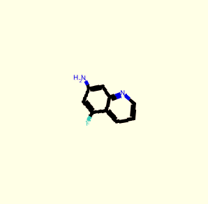 Nc1cc(F)c2cccnc2c1